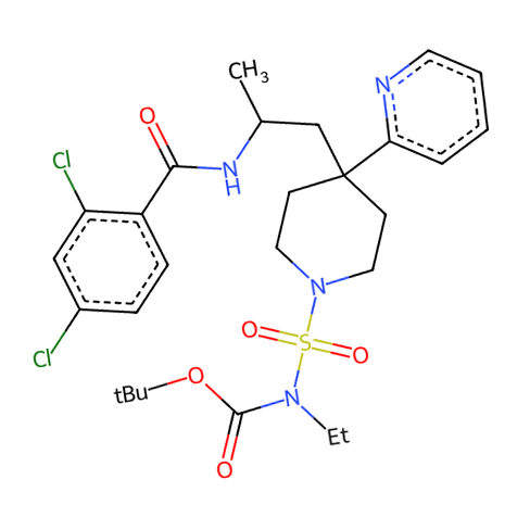 CCN(C(=O)OC(C)(C)C)S(=O)(=O)N1CCC(CC(C)NC(=O)c2ccc(Cl)cc2Cl)(c2ccccn2)CC1